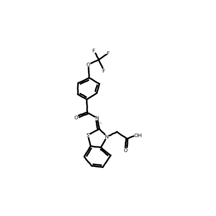 O=C(O)Cn1/c(=N/C(=O)c2ccc(OC(F)(F)F)cc2)sc2ccccc21